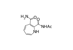 CC(=O)NC(=O)C1=C(C(N)=O)C=CC=CN1